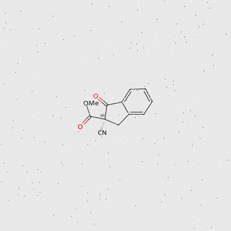 COC(=O)[C@]1(C#N)Cc2ccccc2C1=O